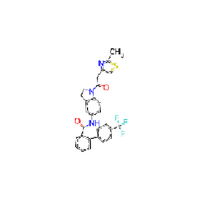 Cc1nc(CC(=O)N2CCc3cc(NC(=O)c4ccccc4-c4ccc(C(F)(F)F)cc4)ccc32)cs1